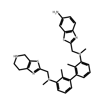 Cc1c(-c2cccc(N(C)Cc3nc4ccc(N)cc4s3)c2C)cccc1N(C)Cc1nc2c(s1)CNCC2